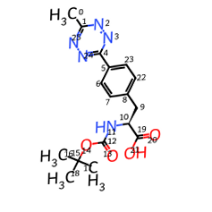 Cc1nnc(-c2ccc(C[C@H](NC(=O)OC(C)(C)C)C(=O)O)cc2)nn1